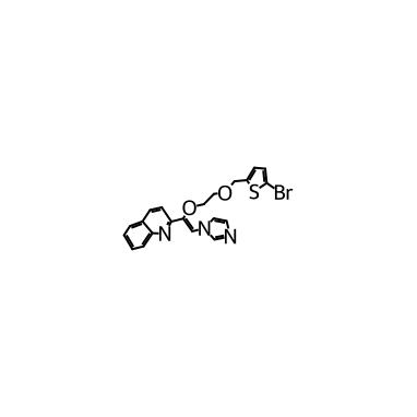 Brc1ccc(COCCOC(=Cn2ccnc2)c2ccc3ccccc3n2)s1